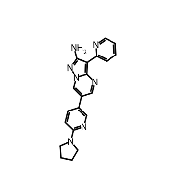 Nc1nn2cc(-c3ccc(N4CCCC4)nc3)cnc2c1-c1ccccn1